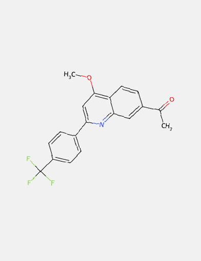 COc1cc(-c2ccc(C(F)(F)F)cc2)nc2cc(C(C)=O)ccc12